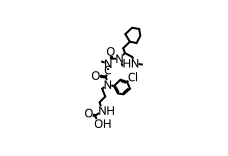 CNCC(CC1CCCCC1)N(C)C(=O)N(C)CC(=O)N(CCCNC(=O)O)c1cccc(Cl)c1